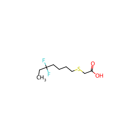 CCC(F)(F)CCCCSCC(=O)O